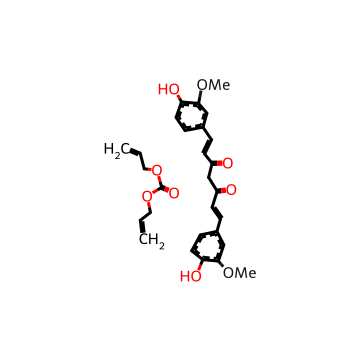 C=CCOC(=O)OCC=C.COc1cc(C=CC(=O)CC(=O)C=Cc2ccc(O)c(OC)c2)ccc1O